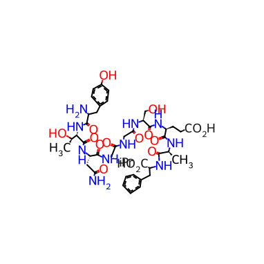 CC(C)[C@H](NC(=O)[C@H](CC(N)=O)NC(=O)[C@@H](NC(=O)[C@@H](N)Cc1ccc(O)cc1)[C@@H](C)O)C(=O)NCC(=O)N[C@@H](CO)C(=O)N[C@@H](CCC(=O)O)C(=O)N[C@@H](C)C(=O)N[C@@H](Cc1ccccc1)C(=O)O